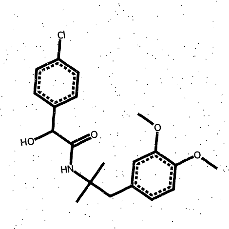 COc1ccc(CC(C)(C)NC(=O)C(O)c2ccc(Cl)cc2)cc1OC